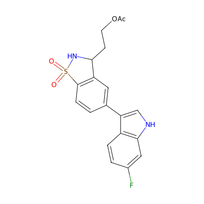 CC(=O)OCCC1NS(=O)(=O)c2ccc(-c3c[nH]c4cc(F)ccc34)cc21